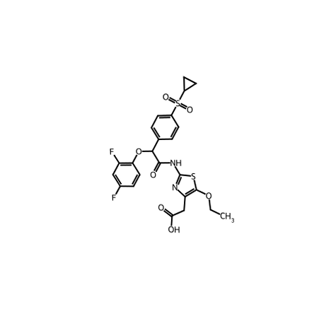 CCOc1sc(NC(=O)C(Oc2ccc(F)cc2F)c2ccc(S(=O)(=O)C3CC3)cc2)nc1CC(=O)O